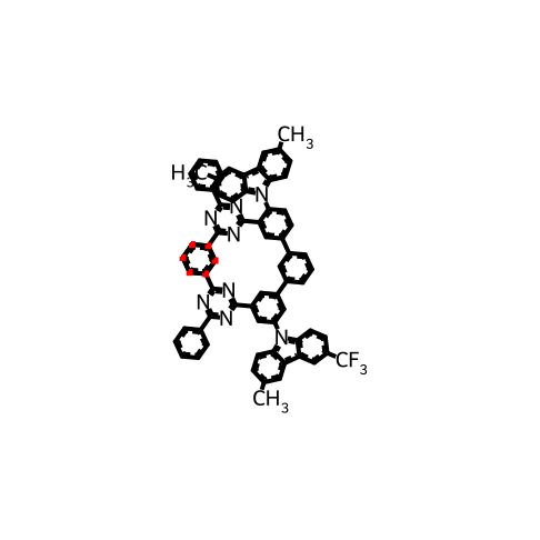 Cc1ccc2c(c1)c1cc(C(F)(F)F)ccc1n2-c1cc(-c2cccc(-c3ccc(-n4c5ccc(C)cc5c5cc(C)ccc54)c(-c4nc(-c5ccccc5)nc(-c5ccccc5)n4)c3)c2)cc(-c2nc(-c3ccccc3)nc(-c3ccccc3)n2)c1